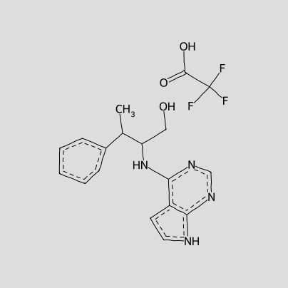 CC(c1ccccc1)C(CO)Nc1ncnc2[nH]ccc12.O=C(O)C(F)(F)F